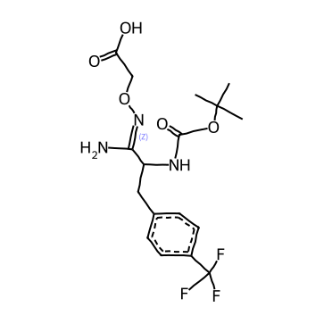 CC(C)(C)OC(=O)NC(Cc1ccc(C(F)(F)F)cc1)/C(N)=N/OCC(=O)O